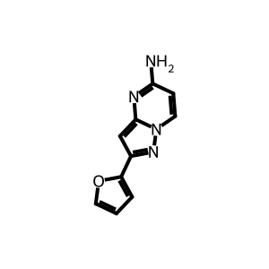 Nc1ccn2nc(-c3ccco3)cc2n1